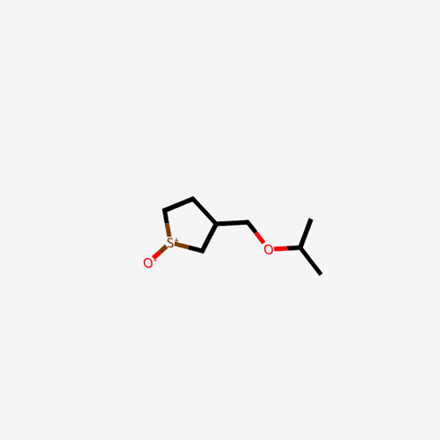 CC(C)OCC1CC[S+]([O-])C1